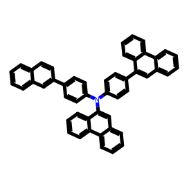 c1ccc2cc(-c3ccc(N(c4ccc(-c5cc6ccccc6c6ccccc56)cc4)c4cc5ccccc5c5ccccc45)cc3)ccc2c1